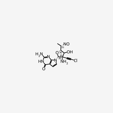 C[C@H](N=O)[C@H]1O[C@@H](n2ccc3c(=O)[nH]c(N)nc32)[C@@](N)(C#CCl)C1O